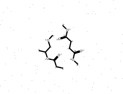 CCC(=O)OC(C)COC.COC(=O)CCC(=O)OC